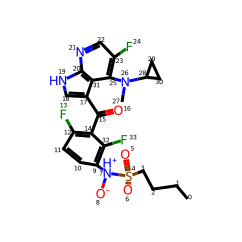 CCCCS(=O)(=O)[NH+]([O-])c1ccc(F)c(C(=O)c2c[nH]c3ncc(F)c(N(C)C4CC4)c23)c1F